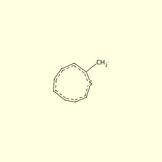 [CH2]c1cccccccs1